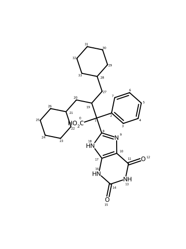 O=C(O)C(c1ccccc1)(c1nc2c(=O)[nH]c(=O)[nH]c2[nH]1)C(CC1CCCCC1)CC1CCCCC1